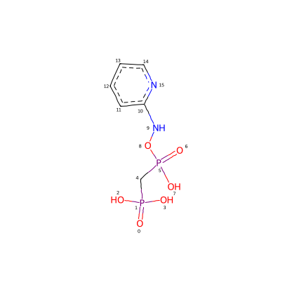 O=P(O)(O)CP(=O)(O)ONc1ccccn1